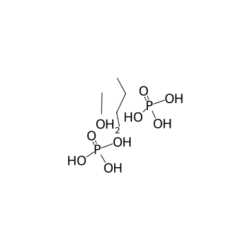 CC.CCCC.O.O=P(O)(O)O.O=P(O)(O)O